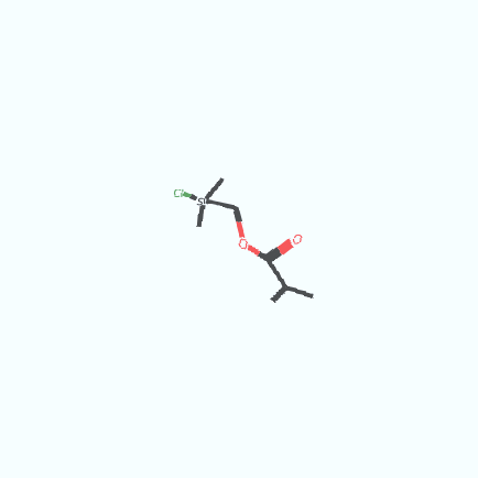 CC(C)C(=O)OC[Si](C)(C)Cl